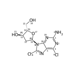 Nc1nc(Cl)c2nc(Cl)n([C@H]3C[C@@H](O)[C@H](CO)O3)c2n1